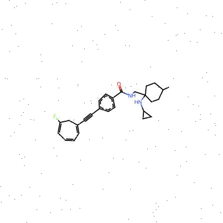 CC1CCC(CNC(=O)c2ccc(C#CC3=CC=CC=C(F)C3)cc2)(NC2CC2)CC1